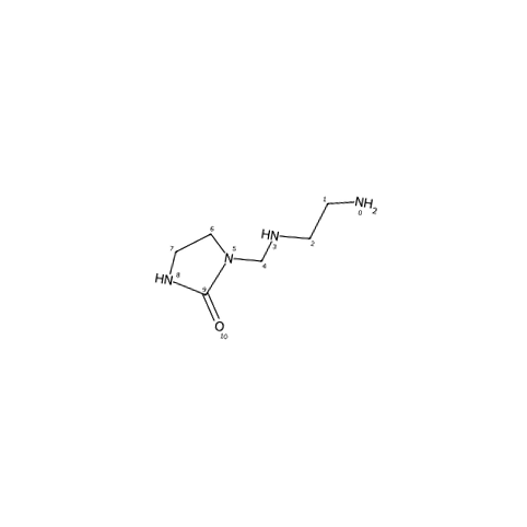 NCCNCN1CCNC1=O